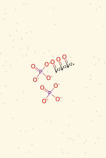 O=P([O-])([O-])[O-].O=P([O-])([O-])[O-].[O]=[V+2].[O]=[V+2].[O]=[V+2]